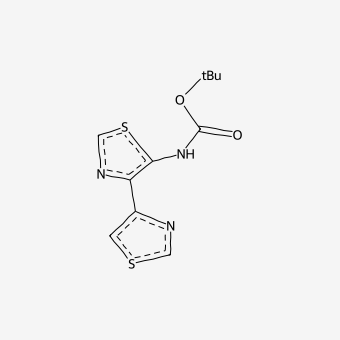 CC(C)(C)OC(=O)Nc1scnc1-c1cscn1